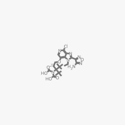 CCn1c(-c2nonc2N)nc2c(Cl)ncc(OC[C@@H](C)C(N(C(=O)O)C(=O)O)(C(C)(C)C)C(C)(C)C)c21